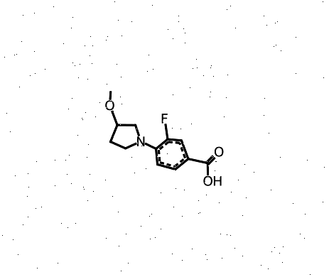 COC1CCN(c2ccc(C(=O)O)cc2F)C1